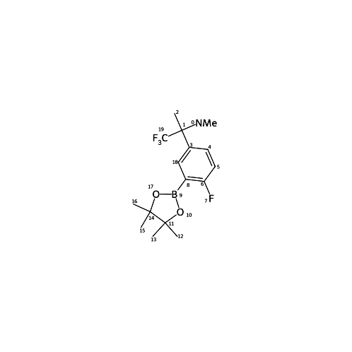 CNC(C)(c1ccc(F)c(B2OC(C)(C)C(C)(C)O2)c1)C(F)(F)F